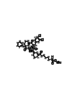 CCNC(=O)[C@]1(Cc2ccccc2)CCCN(C(=O)C(Cc2ccc(Cl)c(Cl)c2)NC(=O)N[C@@H]2CCCN(C(=O)CCCCCNC(=O)OC(C)(C)C)C2)C1